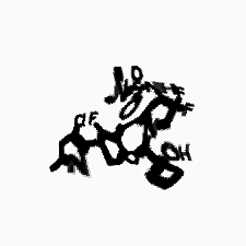 CC1=NC(c2cccc(C[C@H]3[C@@H](NS(=O)(=O)N(C)C)C(F)(F)CN3C(=O)C3(O)CCC3)c2F)=C(Cl)C1